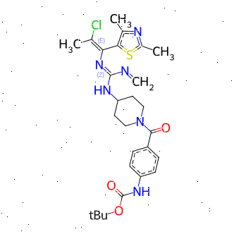 C=N/C(=N\C(=C(/C)Cl)c1sc(C)nc1C)NC1CCN(C(=O)c2ccc(NC(=O)OC(C)(C)C)cc2)CC1